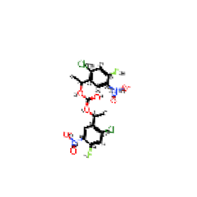 CC(OC(=O)OC(C)c1cc([N+](=O)[O-])c(F)cc1Cl)c1cc([N+](=O)[O-])c(F)cc1Cl